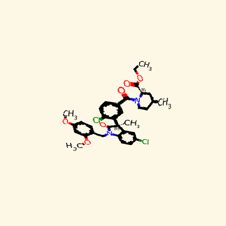 CCOC(=O)[C@H]1CC(C)CCN1C(=O)c1ccc(Cl)c([C@]2(C)C(=O)N(Cc3ccc(OC)cc3OC)c3ccc(Cl)cc32)c1